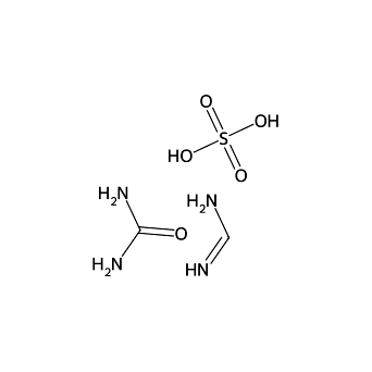 N=CN.NC(N)=O.O=S(=O)(O)O